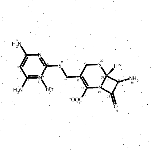 CCC[n+]1c(N)cc(N)nc1SCC1=C(C(=O)[O-])N2C(=O)C(N)[C@H]2SC1